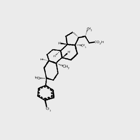 C[C@H](CC(=O)O)[C@H]1CC[C@H]2[C@@H]3CC[C@@H]4C[C@](O)(c5ccc(C(F)(F)F)cc5)CC[C@]4(C)[C@H]3CC[C@]12C